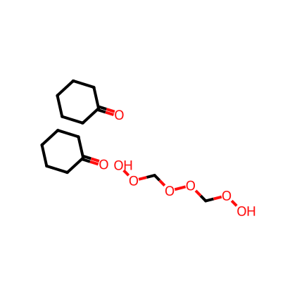 O=C1CCCCC1.O=C1CCCCC1.OOCOOCOO